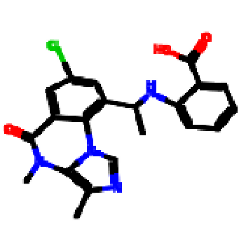 Cc1ncn2c3c(C(C)Nc4ccccc4C(=O)O)cc(Cl)cc3c(=O)n(C)c12